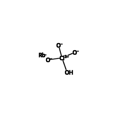 [O-][Cl+3]([O-])([O-])O.[Rb]